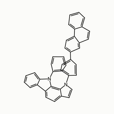 c1ccc(-n2c3ccccc3c3ccc4ccn(-c5ccc(-c6ccc7c(ccc8ccccc87)c6)cc5)c4c32)cc1